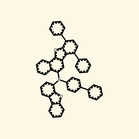 c1ccc(-c2ccc(N(c3cc4c(oc5c(-c6ccccc6)ccc(-c6ccccc6)c54)c4ccccc34)c3cccc4c3oc3ccccc34)cc2)cc1